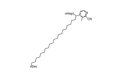 CCCCCCCCCCCCCCCCCCCCCCCCCCCCCCC(CCCCCCC)c1ccnc(C#N)c1C